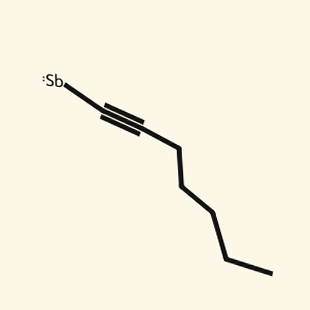 CCCCCC#[C][Sb]